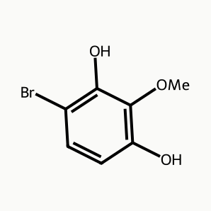 COc1c(O)ccc(Br)c1O